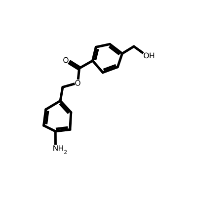 Nc1ccc(COC(=O)c2ccc(CO)cc2)cc1